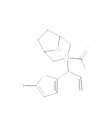 C=CC(c1ccc([N+](=O)[O-])s1)[N+]1(C(=O)CC)CC2CCC(C1)N2